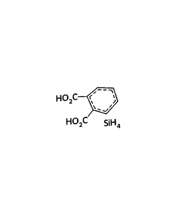 O=C(O)c1ccccc1C(=O)O.[SiH4]